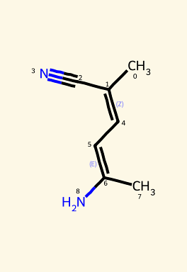 C/C(C#N)=C/C=C(\C)N